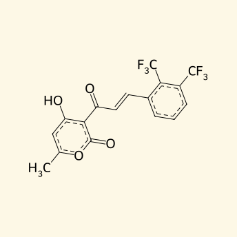 Cc1cc(O)c(C(=O)/C=C/c2cccc(C(F)(F)F)c2C(F)(F)F)c(=O)o1